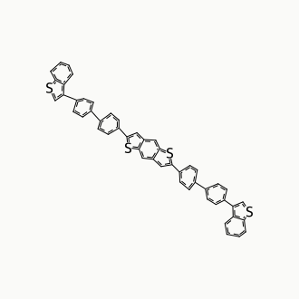 c1ccc2c(-c3ccc(-c4ccc(-c5cc6cc7sc(-c8ccc(-c9ccc(-c%10csc%11ccccc%10%11)cc9)cc8)cc7cc6s5)cc4)cc3)csc2c1